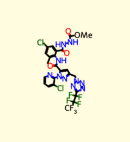 COC(=O)NNC(=O)c1cc(Cl)cc(C)c1NC(=O)c1cc(Cn2nnc(C(F)(F)C(F)(F)C(F)(F)F)n2)nn1-c1ncccc1Cl